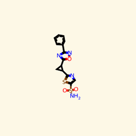 NS(=O)(=O)c1cnc(C2CC2c2nc(-c3ccccc3)no2)s1